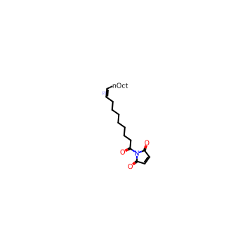 CCCCCCCC/C=C\CCCCCCCC(=O)N1C(=O)C=CC1=O